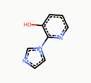 Oc1cccnc1-n1ccnc1